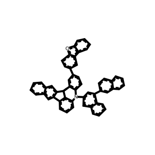 CC12c3cc4ccccc4cc3-c3cccc(c31)N(c1cc(-c3ccc4ccccc4c3)c3ccccc3c1)c1ccc(-c3ccc4oc5ccccc5c4c3)cc12